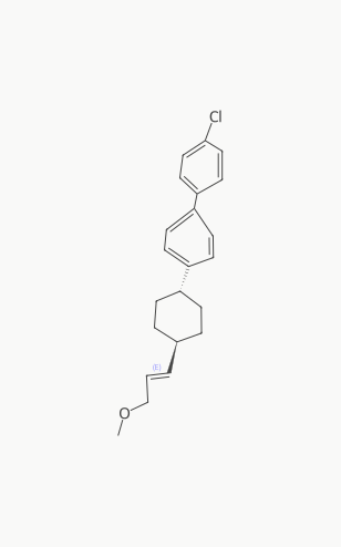 COC/C=C/[C@H]1CC[C@H](c2ccc(-c3ccc(Cl)cc3)cc2)CC1